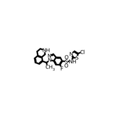 CC(c1cccc2c1CNCC2)n1ncc2cc(S(=O)(=O)Nc3ncc(Cl)s3)c(F)cc21